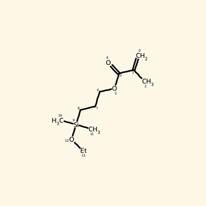 C=C(C)C(=O)OCCC[Si](C)(C)OCC